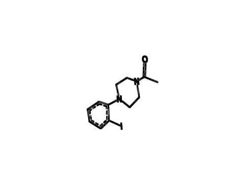 CC(=O)N1CCN(c2ccccc2I)CC1